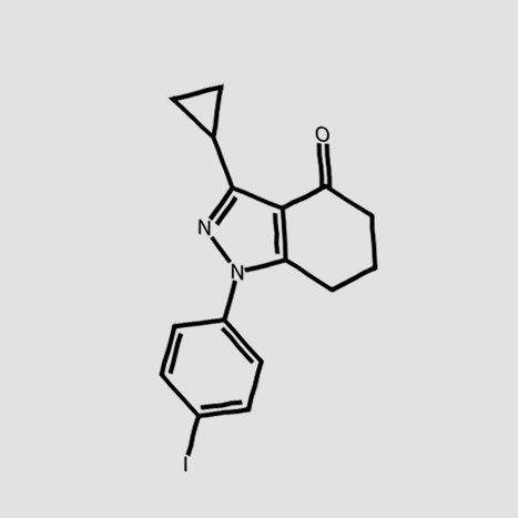 O=C1CCCc2c1c(C1CC1)nn2-c1ccc(I)cc1